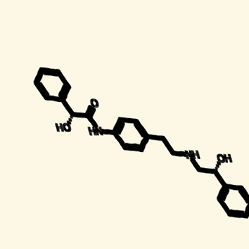 O=C(Nc1ccc(CCNC[C@H](O)c2ccccc2)cc1)[C@H](O)c1ccccc1